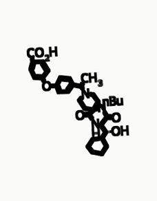 CCCCN1C(=O)[C@@H]([C@H](O)C2CCCCC2)NC(=O)C12CCN(C(C)c1ccc(Oc3ccc(C(=O)O)cc3)cc1)CC2